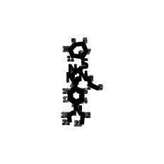 CCCn1c(SC2CCCCC2)nnc1-c1ccc(N(CC)CC)cc1